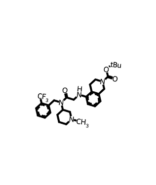 CN1CCCC(N(Cc2ccccc2C(F)(F)F)C(=O)CNc2cccc3c2CCN(C(=O)OC(C)(C)C)C3)C1